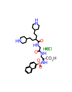 Cl.Cl.O=C(CNC(=O)C(CCC1CCNCC1)CCC1CCNCC1)NC[C@@H](NS(=O)(=O)c1ccc2ccccc2c1)C(=O)O